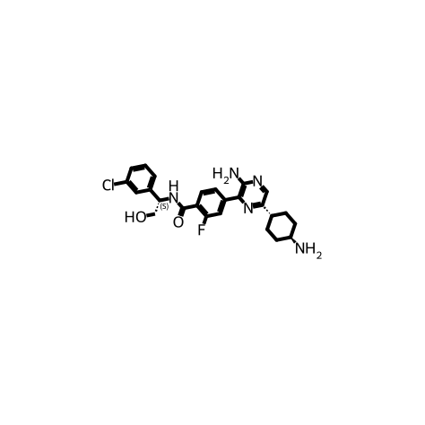 Nc1ncc([C@H]2CC[C@H](N)CC2)nc1-c1ccc(C(=O)N[C@H](CO)c2cccc(Cl)c2)c(F)c1